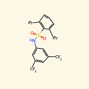 CC(C)c1cccc(C(C)C)c1S(=O)(=O)Nc1cc(C(F)(F)F)cc(C(F)(F)F)c1